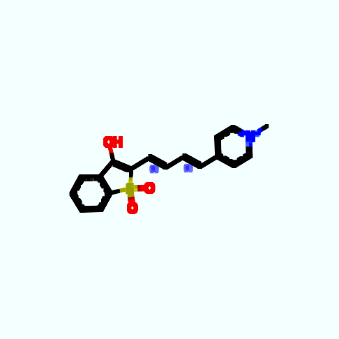 C[n+]1ccc(/C=C/C=C/C2=C(O)c3ccccc3S2(=O)=O)cc1